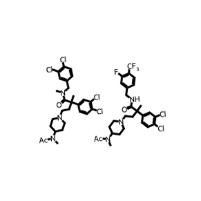 CC(=O)N(C)C1CCN(CCC(C)(C(=O)N(C)Cc2ccc(Cl)c(Cl)c2)c2ccc(Cl)c(Cl)c2)CC1.CC(=O)N(C)C1CCN(CCC(C)(C(=O)NCc2ccc(C(F)(F)F)c(F)c2)c2ccc(Cl)c(Cl)c2)CC1